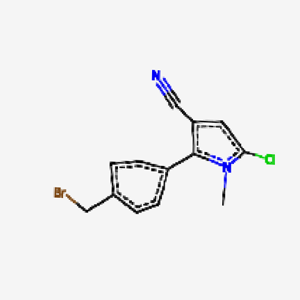 Cn1c(Cl)cc(C#N)c1-c1ccc(CBr)cc1